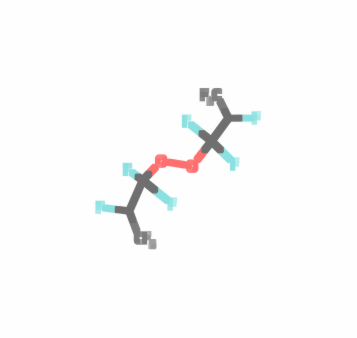 FC(C(F)(F)F)C(F)(F)OOC(F)(F)C(F)C(F)(F)F